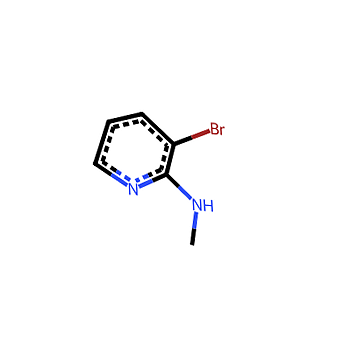 CNc1ncccc1Br